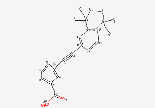 CC1(C)CCC(C)(C)c2cc(C#Cc3cccc(C(=O)O)c3)ccc21